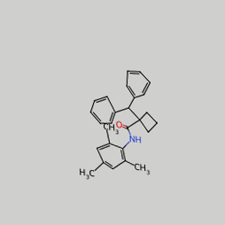 Cc1cc(C)c(NC(=O)C2(C(c3ccccc3)c3ccccc3)CCC2)c(C)c1